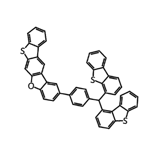 c1ccc2c(c1)sc1cc3oc4ccc(-c5ccc(C(c6cccc7c6sc6ccccc67)c6cccc7sc8ccccc8c67)cc5)cc4c3cc12